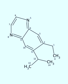 CCc1cc2nccnc2cc1C(C)C